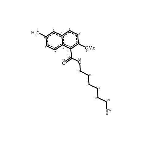 COc1ccc2cc(C)ccc2c1C(=O)OCCCCCCC(C)C